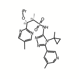 Cc1cnc([C@H](OC(C)C)[C@H](C)S(=O)(=O)Nc2nnc(-c3cncc(C)c3)n2C2(C)CC2)nc1